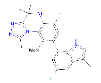 CNc1c(-c2cc(F)cc3c(C)c[nH]c23)cc(F)c2c1-n1c(C)nnc1C(C)(C)N2